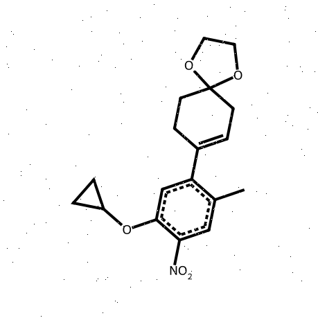 Cc1cc([N+](=O)[O-])c(OC2CC2)cc1C1=CCC2(CC1)OCCO2